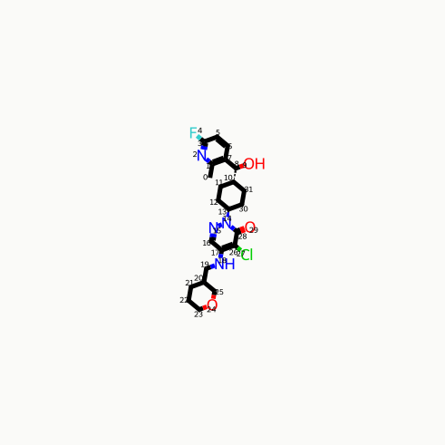 Cc1nc(F)ccc1C(O)[C@H]1CC[C@H](n2ncc(NCC3CCCOC3)c(Cl)c2=O)CC1